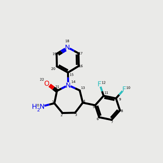 NC1CCC(c2cccc(F)c2F)CN(c2ccncc2)C1=O